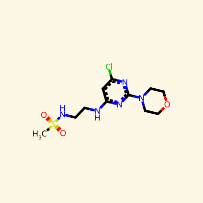 CS(=O)(=O)NCCNc1cc(Cl)nc(N2CCOCC2)n1